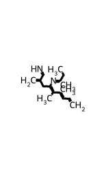 C=C/C=C(C)/C(C)=C(CC(=C)C=N)\N=C(/C)CC